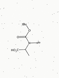 CCCN(C(=O)OC(C)(C)C)C(C)C(=O)O